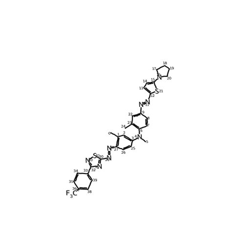 Cc1cc(N(C)c2ccc(/N=N/c3ccc(N4CCCC4)s3)cc2C)ccc1/N=N/c1nc(-c2ccc(C(F)(F)F)cc2)ns1